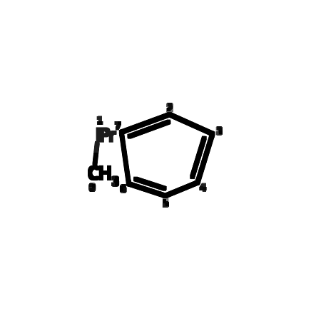 CC(C)C.c1ccccc1